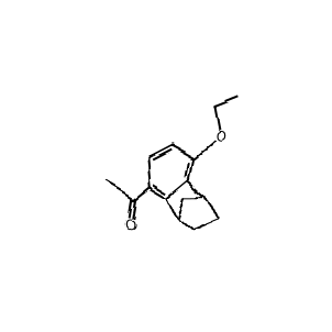 CCOc1ccc(C(C)=O)c2c1C1CCC2C1